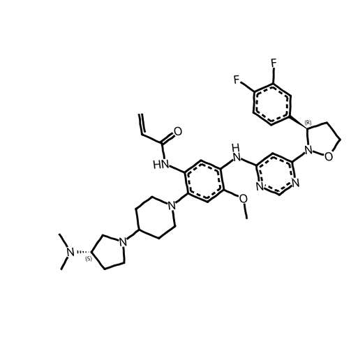 C=CC(=O)Nc1cc(Nc2cc(N3OCC[C@@H]3c3ccc(F)c(F)c3)ncn2)c(OC)cc1N1CCC(N2CC[C@H](N(C)C)C2)CC1